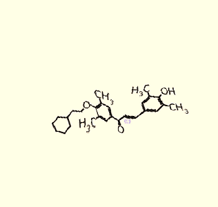 Cc1cc(/C=C/C(=O)c2cc(C)c(OCCC3CCCCC3)c(C)c2)cc(C)c1O